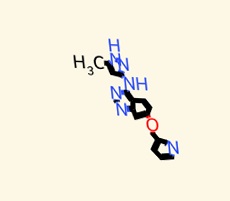 Cc1cc(Nc2ncnc3cc(OCc4cccnc4)ccc23)n[nH]1